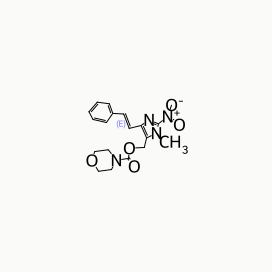 Cn1c([N+](=O)[O-])nc(/C=C/c2ccccc2)c1COC(=O)N1CCOCC1